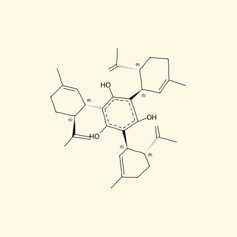 C=C(C)[C@H]1CCC(C)=C[C@@H]1c1c(O)c([C@@H]2C=C(C)CC[C@H]2C(=C)C)c(O)c([C@@H]2C=C(C)CC[C@H]2C(=C)C)c1O